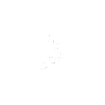 CCC(/C=C/C(C)C1CCC2C1(C)CCC1C3(C)CCC(N)CC3=CCC12C)C(C)C